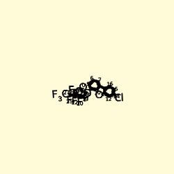 O=S(=O)(Oc1cccc2c1oc1cc(Cl)ccc12)C(F)(F)C(F)(F)C(F)(F)C(F)(F)F